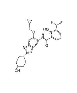 O=C(Nc1cc2cn([C@H]3CC[C@H](O)CC3)nc2cc1OCC1CC1)c1cccc(C(F)F)[n+]1O